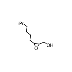 CC(C)CCCCC1OC1CO